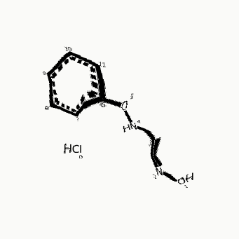 Cl.ON=CNOc1ccccc1